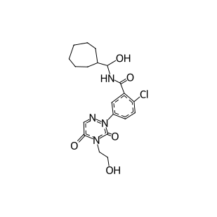 O=C(NC(O)C1CCCCCC1)c1cc(-n2ncc(=O)n(CCO)c2=O)ccc1Cl